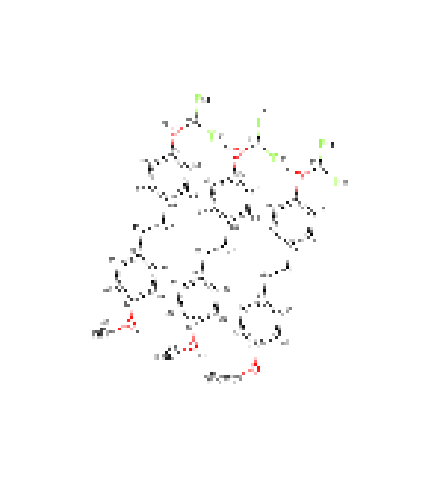 CCCCCOc1ccc(CCc2ccc(OC(F)F)cc2)cc1.CCCCOc1ccc(CCc2ccc(OC(F)F)cc2)cc1.CCCOc1ccc(CCc2ccc(OC(F)F)cc2)cc1